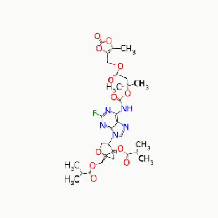 Cc1oc(=O)oc1COC(=O)CC(C)(C)OC(=O)Nc1nc(F)nc2c1ncn2C1CO[C@@]2(COC(=O)C(C)C)C[C@]12OC(=O)C(C)C